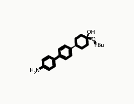 CCCCO[C@]1(O)CC[C@@H](c2ccc(-c3ccc(N)cc3)cc2)CC1